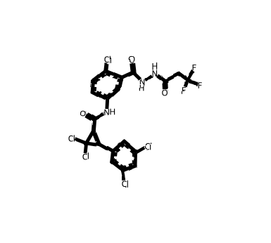 O=C(CC(F)(F)F)NNC(=O)c1cc(NC(=O)C2C(c3cc(Cl)cc(Cl)c3)C2(Cl)Cl)ccc1Cl